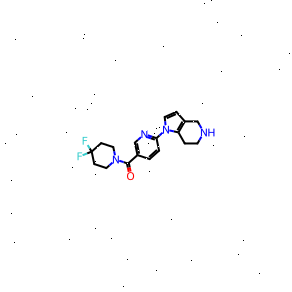 O=C(c1ccc(-n2ccc3c2CCNC3)nc1)N1CCC(F)(F)CC1